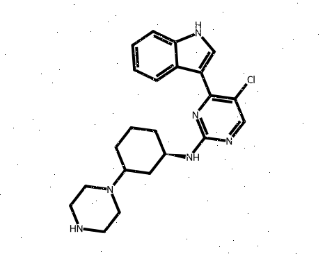 Clc1cnc(N[C@@H]2CCCC(N3CCNCC3)C2)nc1-c1c[nH]c2ccccc12